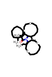 CC/C1=C(\N(C(=O)C2CCCCCCCCC2C)C2C(C)CCCCCCCCCC2CC)CCCCCCCCCC1